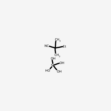 CCC(C)(C)C#N.O[Si](O)(O)O